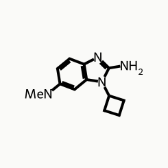 CNc1ccc2nc(N)n(C3CCC3)c2c1